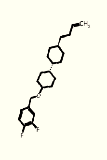 C=CCC[C@H]1CC[C@H](C2CCC(OCc3ccc(F)c(F)c3)CC2)CC1